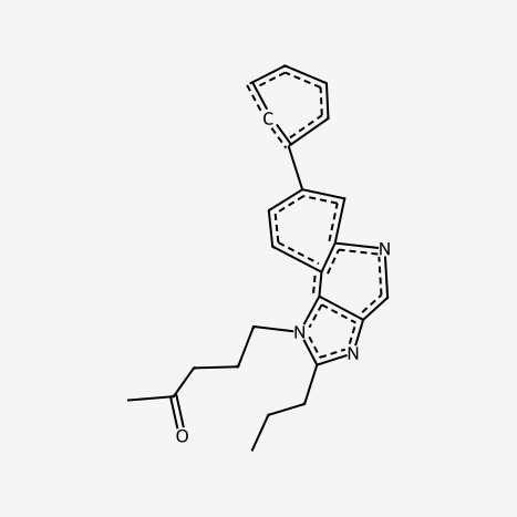 CCCc1nc2cnc3cc(-c4ccccc4)ccc3c2n1CCCC(C)=O